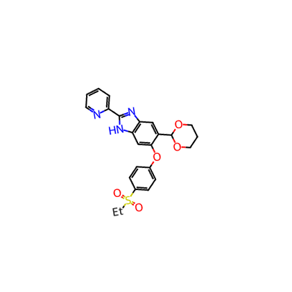 CCS(=O)(=O)c1ccc(Oc2cc3[nH]c(-c4ccccn4)nc3cc2C2OCCCO2)cc1